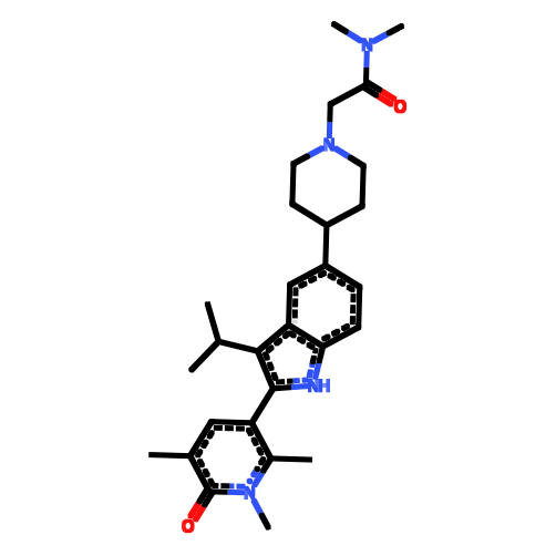 Cc1cc(-c2[nH]c3ccc(C4CCN(CC(=O)N(C)C)CC4)cc3c2C(C)C)c(C)n(C)c1=O